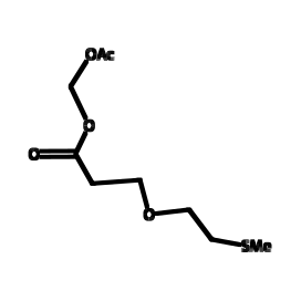 CSCCOCCC(=O)OCOC(C)=O